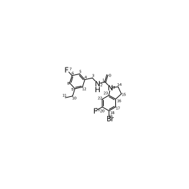 C=C(NCc1cc(F)cc(CC)c1)N1CCc2cc(Br)c(F)cc21